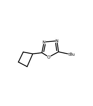 CC(C)(C)c1nnc(C2CCC2)o1